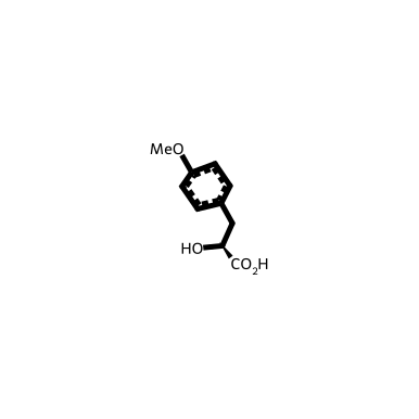 COc1ccc(C[C@H](O)C(=O)O)cc1